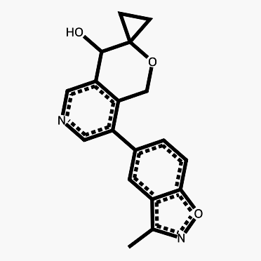 Cc1noc2ccc(-c3cncc4c3COC3(CC3)C4O)cc12